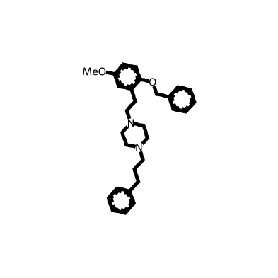 COc1ccc(OCc2ccccc2)c(CCN2CCN(CCCc3ccccc3)CC2)c1